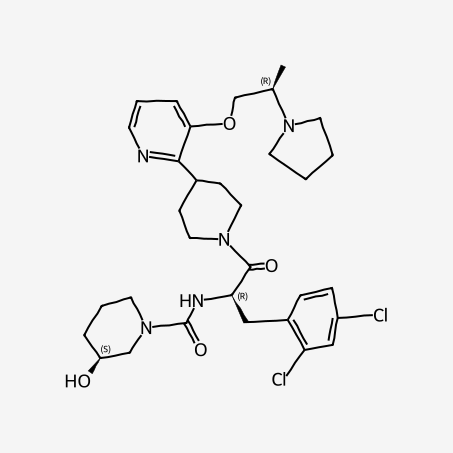 C[C@H](COc1cccnc1C1CCN(C(=O)[C@@H](Cc2ccc(Cl)cc2Cl)NC(=O)N2CCC[C@H](O)C2)CC1)N1CCCC1